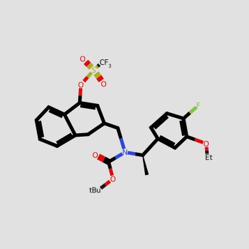 CCOc1cc([C@@H](C)N(CC2C=C(OS(=O)(=O)C(F)(F)F)c3ccccc3C2)C(=O)OC(C)(C)C)ccc1F